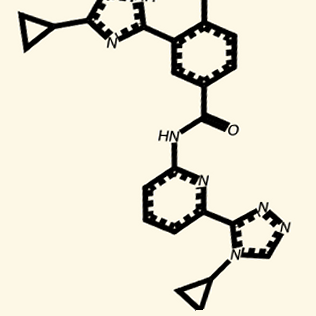 Cc1ccc(C(=O)Nc2cccc(-c3nncn3C3CC3)n2)cc1-c1nc(C2CC2)c[nH]1